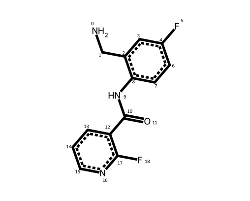 NCc1cc(F)ccc1NC(=O)c1cccnc1F